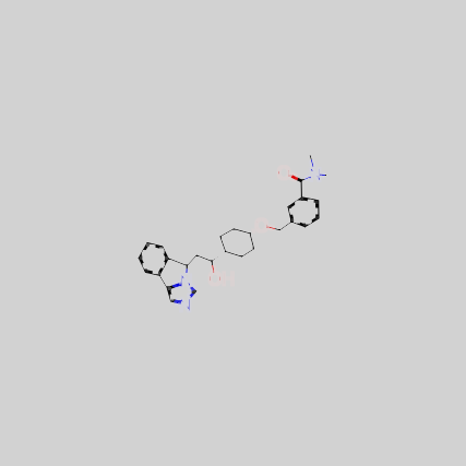 CN(C)C(=O)c1cccc(CO[C@H]2CC[C@H](C(O)CC3c4ccccc4-c4cncn43)CC2)c1